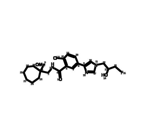 COC1(CNC(=O)c2cc(-c3cn(CC(O)CF)cn3)ccc2Cl)CCCCCC1